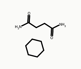 C1CCCCC1.NC(=O)CCC(N)=O